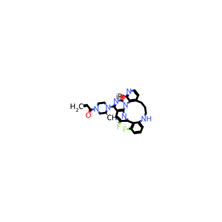 C=CC(=O)N1CCN(c2nc(=O)n3c4nc(c(F)cc24)-c2c(F)cccc2NCCCc2ccnc(C(C)C)c2-3)[C@H](C)C1